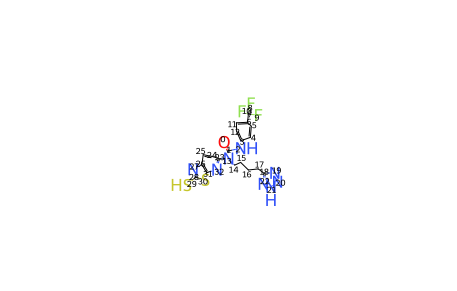 O=C(Nc1ccc(C(F)(F)F)cc1)N(CCCCc1nn[nH]n1)c1ccc2nc(S)sc2n1